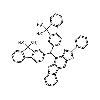 CC1(C)c2ccccc2-c2ccc(N(c3ccc4c(c3)C(C)(C)c3ccccc3-4)c3c4nc(-c5ccccc5)oc4cc4c3oc3ccccc34)cc21